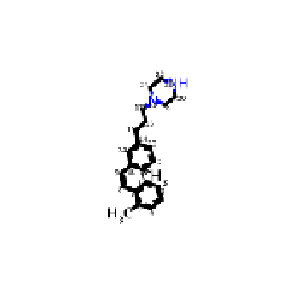 Cc1cccc(C)c1/C=C\c1cccc(CCCN2CCNCC2)c1